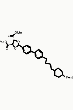 CCCCCC1CCC(CCCCc2ccc(-c3ccc(C4O[C@@H](C(=O)OC)[C@H](C(=O)OC)O4)cc3)cc2)CC1